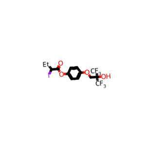 CCC(I)C(=O)Oc1ccc(OCC(O)(C(F)(F)F)C(F)(F)F)cc1